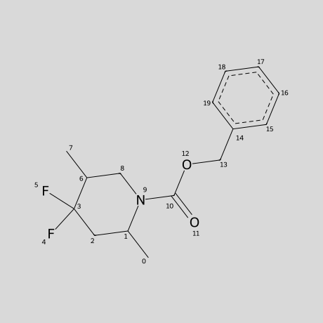 CC1CC(F)(F)C(C)CN1C(=O)OCc1ccccc1